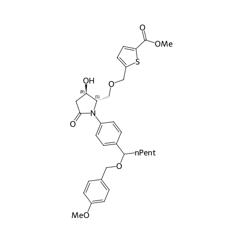 CCCCCC(OCc1ccc(OC)cc1)c1ccc(N2C(=O)C[C@@H](O)[C@@H]2COCc2ccc(C(=O)OC)s2)cc1